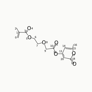 C=C(C)C(=O)OCCOCC(=O)Oc1cc(C)oc(=O)c1